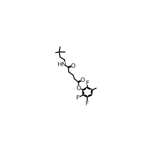 Cc1cc(F)c(F)c(OC(=O)CCCC(=O)NCCC(C)(C)C)c1F